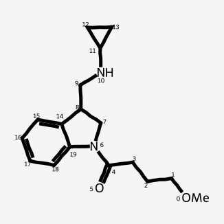 COCCCC(=O)N1CC(CNC2CC2)c2ccccc21